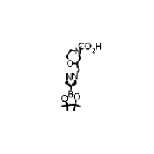 CC1(C)OB(c2cnn(CC3CN(C(=O)O)CCO3)c2)OC1(C)C